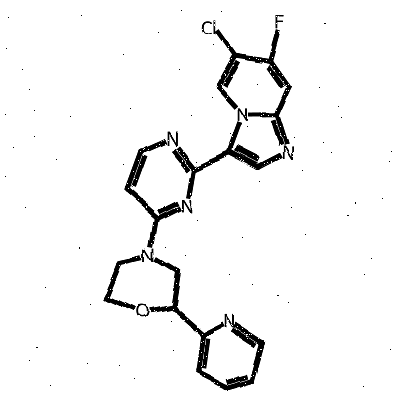 Fc1cc2ncc(-c3nccc(N4CCOC(c5ccccn5)C4)n3)n2cc1Cl